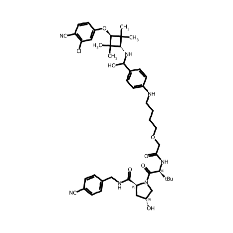 CC(C)(C)[C@H](NC(=O)COCCCCNc1ccc(C(O)N[C@H]2C(C)(C)[C@H](Oc3ccc(C#N)c(Cl)c3)C2(C)C)cc1)C(=O)N1C[C@H](O)C[C@H]1C(=O)NCc1ccc(C#N)cc1